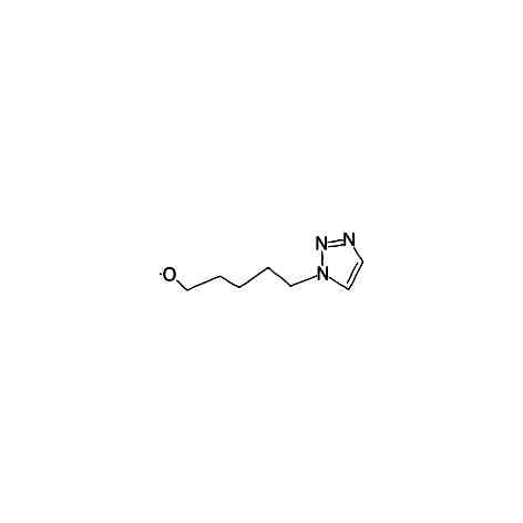 [O]CCCCCn1ccnn1